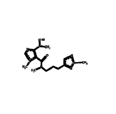 CN(CCCc1cnn(C)n1)C(=O)c1c(N(C)C=O)ncn1C